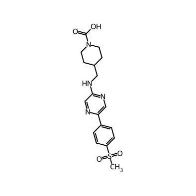 CS(=O)(=O)c1ccc(-c2cnc(NCC3CCN(C(=O)O)CC3)cn2)cc1